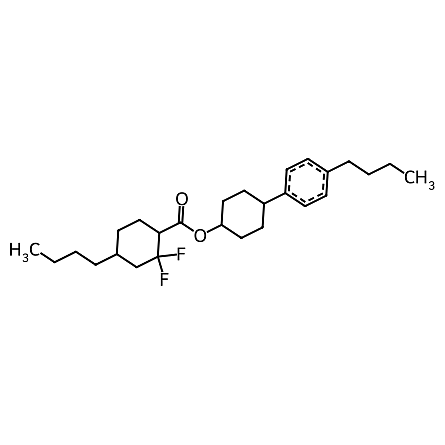 CCCCc1ccc(C2CCC(OC(=O)C3CCC(CCCC)CC3(F)F)CC2)cc1